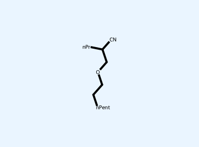 CCCCCCCOCC(C#N)CCC